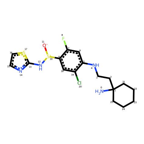 NC1(CCNc2cc(F)c([S+]([O-])Nc3nccs3)cc2Cl)CCCCC1